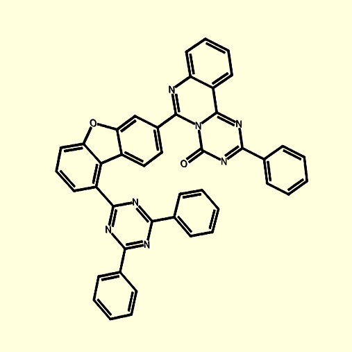 O=c1nc(-c2ccccc2)nc2c3ccccc3nc(-c3ccc4c(c3)oc3cccc(-c5nc(-c6ccccc6)nc(-c6ccccc6)n5)c34)n12